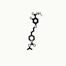 CC(C)OC(=O)N1CCC(CCCOc2ccc(C(N)=O)c(F)c2)CC1